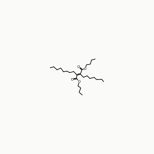 CCCCCCCCC(C(=O)OCCCC)=C(CCCCCCC)C(=O)OCCCC